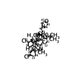 CC(C)Oc1cc(C(C)(C)C)ccc1C1=N[C@@](C)(c2ccc(Cl)cc2)[C@@](C)(c2ccc(Cl)cc2)N1C(=O)N1CCN(CCN2CCOCC2)CC1